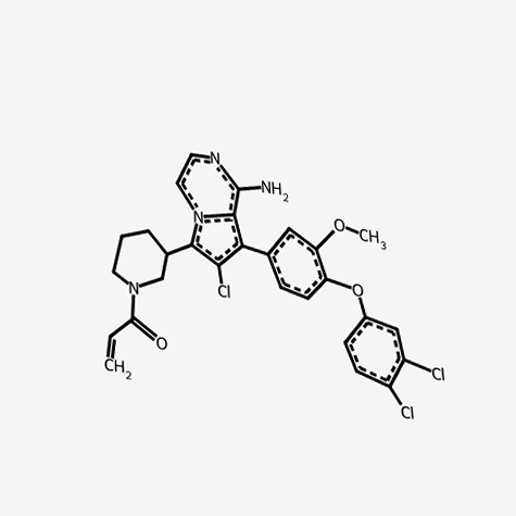 C=CC(=O)N1CCCC(c2c(Cl)c(-c3ccc(Oc4ccc(Cl)c(Cl)c4)c(OC)c3)c3c(N)nccn23)C1